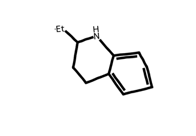 C[CH]C1CCc2ccccc2N1